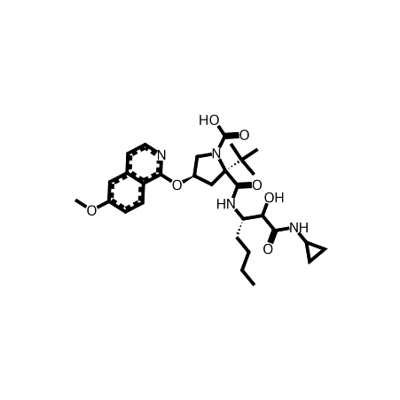 CCCC[C@H](NC(=O)[C@@]1(C(C)(C)C)C[C@@H](Oc2nccc3cc(OC)ccc23)CN1C(=O)O)C(O)C(=O)NC1CC1